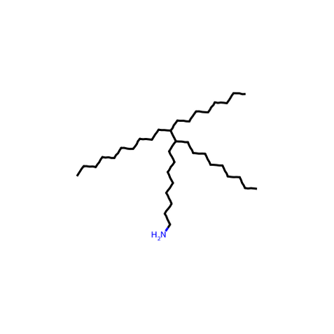 CCCCCCCCCCC(CCCCCCCC)C(CCCCCCCCC)CCCCCCCCN